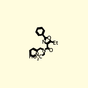 CCc1oc(-c2ccccc2)nc1C(=O)N(CC(=O)O)Cc1ccccn1